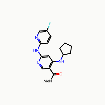 CNC(=O)c1cnc(Nc2ccc(F)cn2)cc1NC1CCCC1